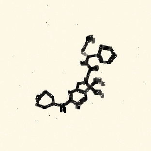 CC[C@@H](NC(=O)N1Cc2nc(NC3CCOCC3)ncc2C1(C)C)c1ccccc1